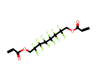 C=CC(=O)OCC(F)(F)C(F)(F)C(F)(F)C(F)(F)C(F)(F)C(F)(F)COC(=O)C=C